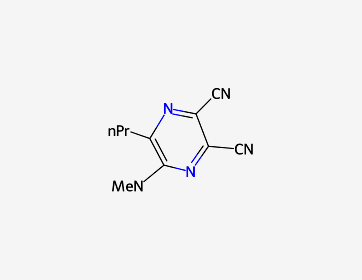 CCCc1nc(C#N)c(C#N)nc1NC